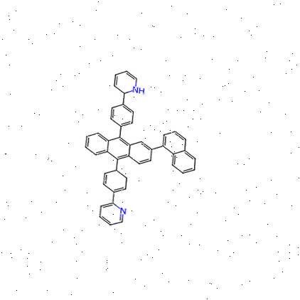 C1=CNC(c2ccc(-c3c4ccccc4c(C4C=CC(c5ccccn5)=CC4)c4ccc(-c5cccc6ccccc56)cc34)cc2)C=C1